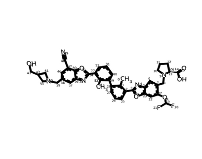 Cc1c(-c2nc3cc(CN4CCC[C@H]4C(=O)O)c(OC(F)F)cc3o2)cccc1-c1cccc(-c2nc3cc(CN4CC(CO)C4)cc(C#N)c3o2)c1C